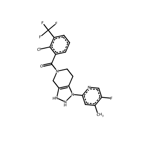 Cc1cc(N2NNC3=C2CCN(C(=O)c2cccc(C(F)(F)F)c2Cl)C3)ncc1F